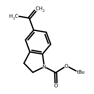 C=C(C)c1ccc2c(c1)CCN2C(=O)OC(C)(C)C